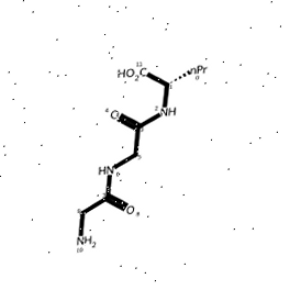 CCC[C@H](NC(=O)CNC(=O)CN)C(=O)O